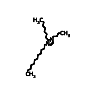 CCCCCCCCCCCCN1C=CN(CCCC)C1CCCCCCC